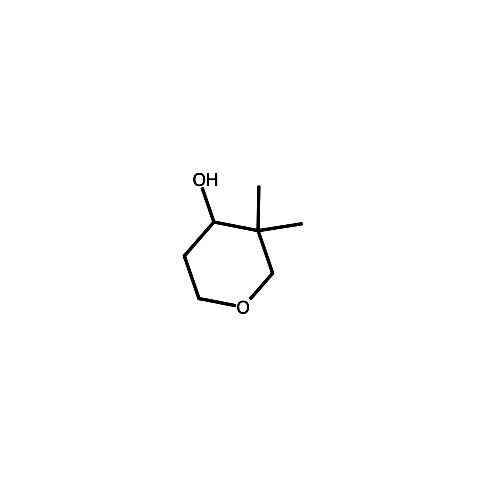 CC1(C)COCCC1O